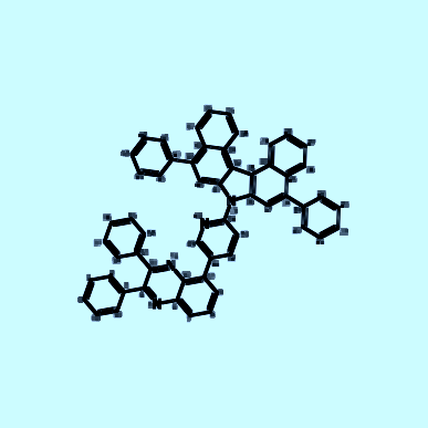 c1ccc(-c2nc3cccc(-c4ccc(-n5c6cc(-c7ccccc7)c7ccccc7c6c6c7ccccc7c(-c7ccccc7)cc65)nc4)c3nc2-c2ccccc2)cc1